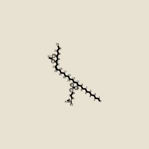 CCCCCCCCCCCCC(CCCCCCC/C=C\CC(CCCCCC)OC(C)=O)OC(=O)OCCCN(C)C